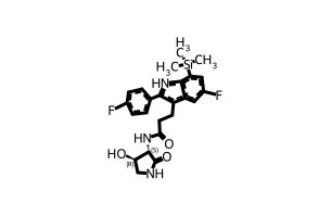 C[Si](C)(C)c1cc(F)cc2c(CCC(=O)N[C@@H]3C(=O)NC[C@H]3O)c(-c3ccc(F)cc3)[nH]c12